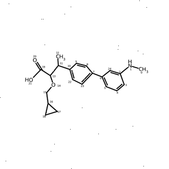 CNc1cccc(-c2ccc(C(C)C(OCC3CC3)C(=O)O)cc2)c1